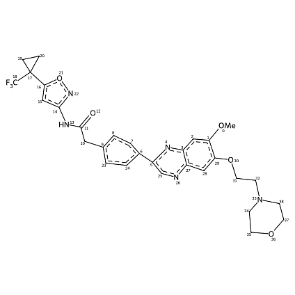 COc1cc2nc(-c3ccc(CC(=O)Nc4cc(C5(C(F)(F)F)CC5)on4)cc3)cnc2cc1OCCN1CCOCC1